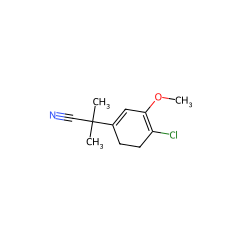 COC1=C(Cl)CCC(C(C)(C)C#N)=C1